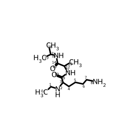 CCNC(CCCCN)C(=O)NC(C)C(=O)NC(C)C